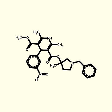 COC(=O)C1=C(C)NC(C)=C(C(=O)OC2(C)CCN(Cc3ccccc3)C2)C1c1cccc([N+](=O)[O-])c1